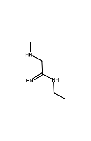 CCNC(=N)CNC